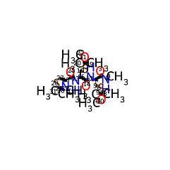 CNC(=O)[C@H](CSC(C)(C)OC)NC(=O)[C@H](CSC(C)(C)OC)NC(=O)[C@@H]1CSC(C)(C)N1C